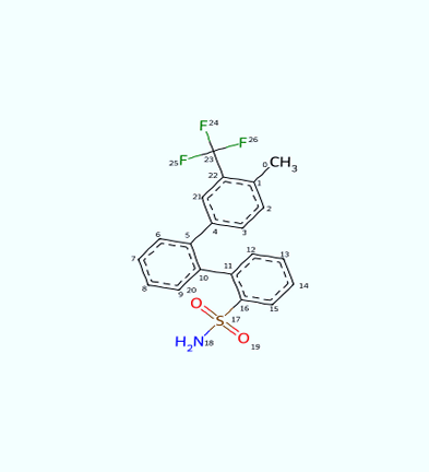 Cc1ccc(-c2ccccc2-c2ccccc2S(N)(=O)=O)cc1C(F)(F)F